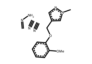 C#N.C#N.C=NN.COc1ccccc1OCc1cnn(C)c1